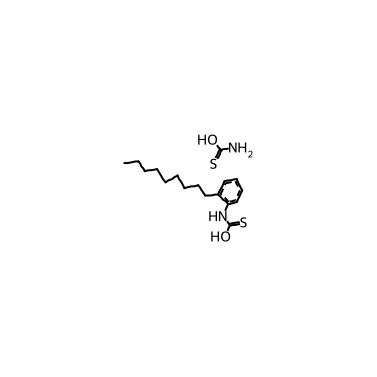 CCCCCCCCCc1ccccc1NC(O)=S.NC(O)=S